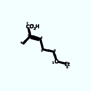 CCOCCC=C(C)C(=O)O